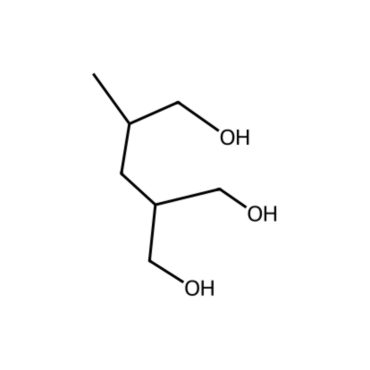 CC(CO)CC(CO)CO